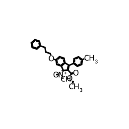 CCOC(=O)C1=C(c2ccc(C)cc2)c2ccc(OCCCc3ccccc3)cc2/C1=[N+](/C)[O-]